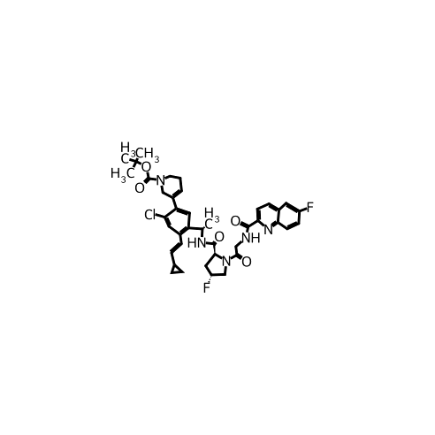 C[C@H](NC(=O)[C@@H]1C[C@@H](F)CN1C(=O)CNC(=O)c1ccc2cc(F)ccc2n1)c1cc(C2=CCCN(C(=O)OC(C)(C)C)C2)c(Cl)cc1/C=C/C1CC1